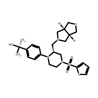 C[C@@](O)(c1ccc(N2CCN(S(=O)(=O)c3cccs3)C[C@@H]2CN2C[C@H]3COC[C@H]3C2)cc1)C(F)(F)F